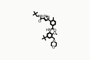 COc1c(CN2CCOCC2)cc(C(C)(C)C)cc1NC(=O)c1ccc(C)c(-n2cc(C(=O)NCC(C)(C)C)nn2)c1